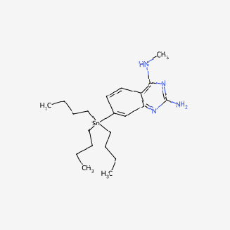 CCC[CH2][Sn]([CH2]CCC)([CH2]CCC)[c]1ccc2c(NC)nc(N)nc2c1